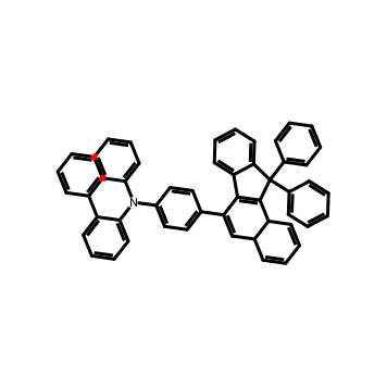 C1=CC2C=C(c3ccc(N(c4ccccc4)c4ccccc4-c4ccccc4)cc3)C3=C(C2C=C1)C(c1ccccc1)(c1ccccc1)c1ccccc13